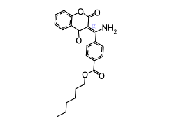 CCCCCCOC(=O)c1ccc(/C(N)=C2/C(=O)Oc3ccccc3C2=O)cc1